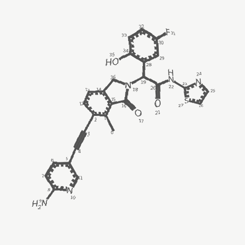 Cc1c(C#Cc2ccc(N)nc2)ccc2c1C(=O)N(C(C(=O)Nc1nccs1)c1cc(F)ccc1O)C2